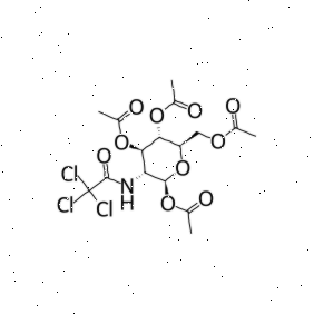 CC(=O)OC[C@H]1O[C@@H](OC(C)=O)[C@H](NC(=O)C(Cl)(Cl)Cl)[C@@H](OC(C)=O)[C@@H]1OC(C)=O